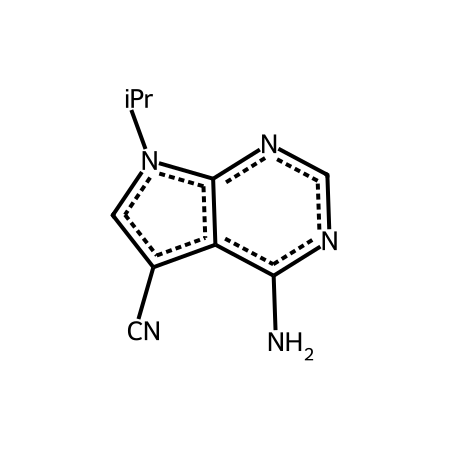 CC(C)n1cc(C#N)c2c(N)ncnc21